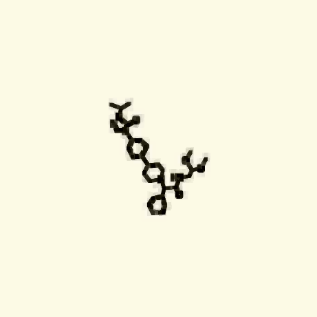 COC(CNC(=O)C(c1ccccc1)N1CC=C(c2ccc(-n3cnn(C(C)C)c3=O)cc2)CC1)OC